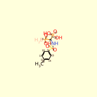 BP(=O)(O)C(NS(=O)(=O)c1ccc(C)cc1)P(=O)(O)O